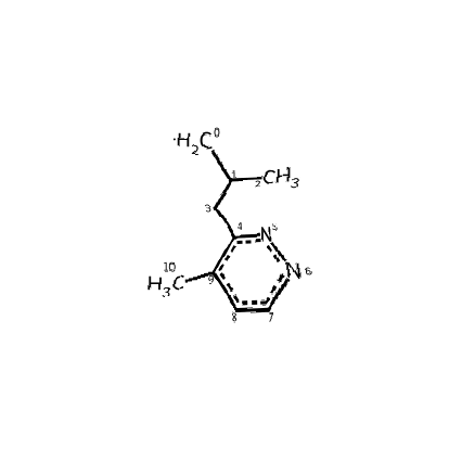 [CH2]C(C)Cc1nnccc1C